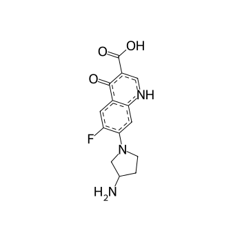 NC1CCN(c2cc3[nH]cc(C(=O)O)c(=O)c3cc2F)C1